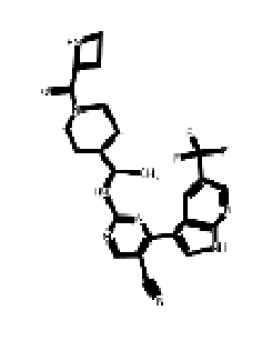 C[C@@H](Nc1ncc(C#N)c(-c2c[nH]c3ncc(C(F)(F)F)cc23)n1)C1CCN(C(=O)C2CCN2)CC1